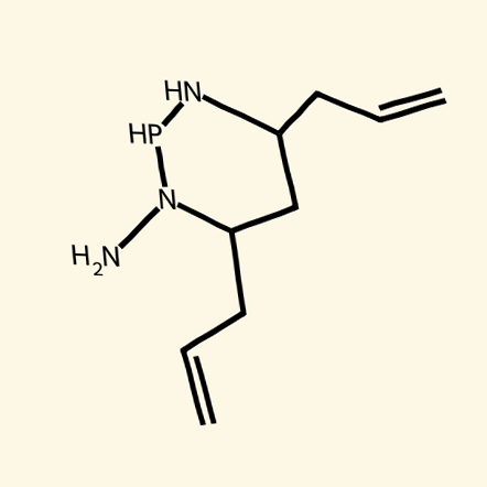 C=CCC1CC(CC=C)N(N)PN1